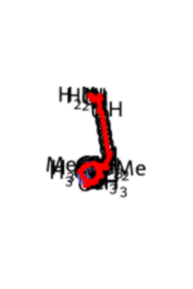 CO[C@@H]1C[C@H](C[C@@H](N)[C@@H]2CC(O)[C@H](C)/C=C(\C)[C@@H](O)[C@@H](OC)C(=O)[C@H](C)C[C@H](C)/C=C/C=C/C=C(\C)C(c3ccco3)C[C@@H]3CC[C@@H](C)[C@@](O)(O3)C(=O)C(=O)N3CCCC[C@H]3C(=O)O2)CC[C@H]1OCCCCc1cn(CCOCCOCCOCCOCCOCCOCCOCCOCCC(=O)NCCCCn2nc(-c3ccc4oc(N)nc4c3)c3c(N)ncnc32)nn1